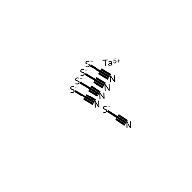 N#C[S-].N#C[S-].N#C[S-].N#C[S-].N#C[S-].[Ta+5]